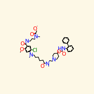 COCC(=O)N(C)CCCN(C)C(=O)c1cc(Cl)c(N(C)CCCCCC(=O)N(C)CCN2CCC(OC(=O)Nc3ccccc3-c3ccccc3)CC2)cc1OC